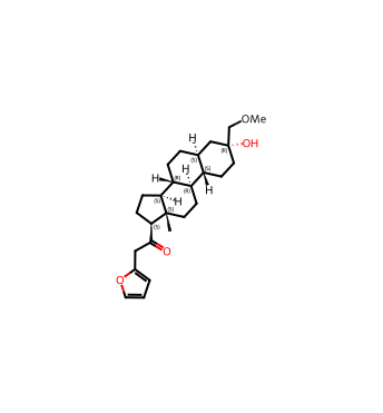 COC[C@@]1(O)CC[C@H]2[C@@H](CC[C@@H]3[C@@H]2CC[C@]2(C)[C@@H](C(=O)Cc4ccco4)CC[C@@H]32)C1